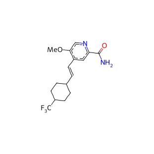 COc1cnc(C(N)=O)cc1/C=C/C1CCC(C(F)(F)F)CC1